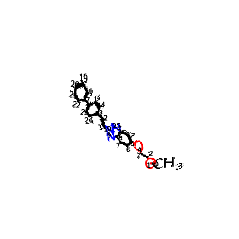 COCCOc1ccc2nn(C=Cc3ccc(-c4ccccc4)cc3)nc2c1